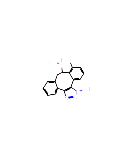 COC1Cc2ccccc2-c2nnn(C)c2-c2cccc(C)c21